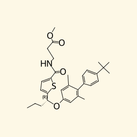 CCC[C@@H](Oc1cc(C)c(-c2ccc(C(C)(C)C)cc2)c(C)c1)c1ccc(C(=O)NCCC(=O)OC)s1